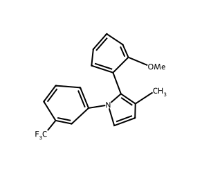 COc1ccccc1-c1c(C)ccn1-c1cccc(C(F)(F)F)c1